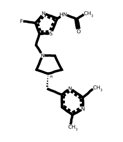 CC(=O)Nc1nc(F)c(CN2CC[C@H](Cc3cc(C)nc(C)n3)C2)s1